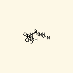 N#Cc1ccc(N2CCN(C(=O)CCNCC3c4ccccc4CN3c3cn[nH]c(=O)c3Cl)CC2)nc1